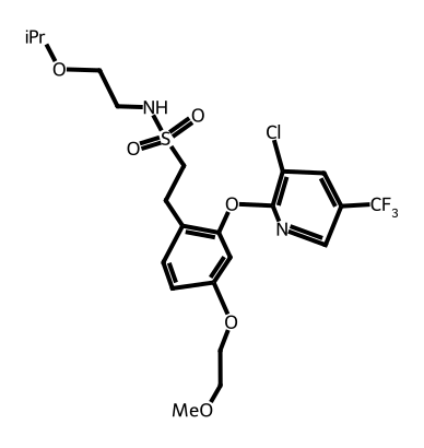 COCCOc1ccc(CCS(=O)(=O)NCCOC(C)C)c(Oc2ncc(C(F)(F)F)cc2Cl)c1